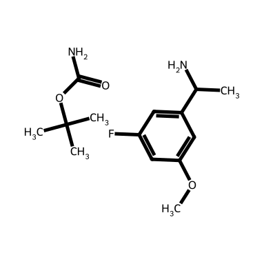 CC(C)(C)OC(N)=O.COc1cc(F)cc(C(C)N)c1